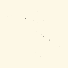 COCCCN=S1CCN(c2nc(N3CC[C@@H](N)C3)c3cc(C)ccc3n2)Cc2ccccc21